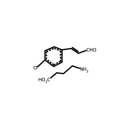 NCCCC(=O)O.O=C/C=C/c1ccc(Cl)cc1